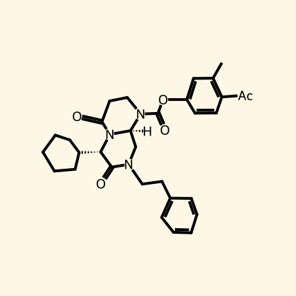 CC(=O)c1ccc(OC(=O)N2CCC(=O)N3[C@@H](C4CCCCC4)C(=O)N(CCc4ccccc4)C[C@H]23)cc1C